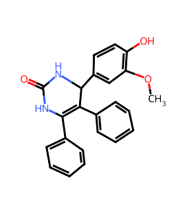 COc1cc(C2NC(=O)NC(c3ccccc3)=C2c2ccccc2)ccc1O